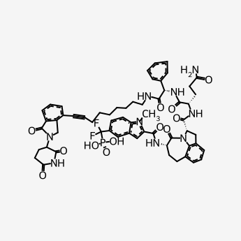 Cn1c(C(=O)N[C@H]2CCc3cccc4c3N(C2=O)[C@H](C(=O)N[C@@H](CCC(N)=O)C(=O)N[C@H](C(=O)NCCCCCCCC#Cc2cccc3c2CN(C2CCC(=O)NC2=O)C3=O)c2ccccc2)C4)cc2cc(C(F)(F)P(=O)(O)O)ccc21